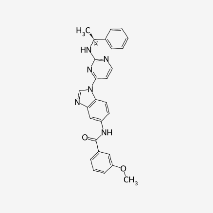 COc1cccc(C(=O)Nc2ccc3c(c2)ncn3-c2ccnc(N[C@@H](C)c3ccccc3)n2)c1